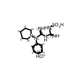 Cl.N=C(NC(=N)N(c1ccccc1)N1CCCCC1)NS(=O)(=O)O